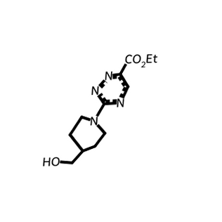 CCOC(=O)c1cnc(N2CCC(CO)CC2)nn1